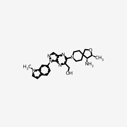 C[C@@H]1OCC2(CCN(c3nc4cnn(-c5ccc6ccn(C)c6c5)c4nc3CO)CC2)[C@@H]1N